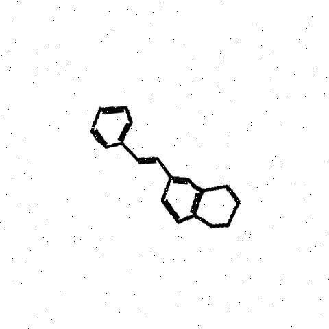 [CH]1CCCc2ccc(/C=C/c3ccccc3)cc21